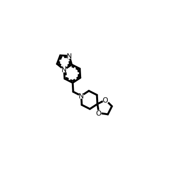 c1cn2cc(CN3CCC4(CC3)OCCO4)ccc2n1